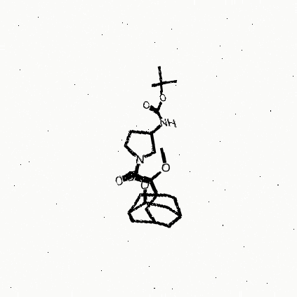 COC(=O)C12CC3CC(C1)C(OC(=O)N1CCC(NC(=O)OC(C)(C)C)C1)C(C3)C2